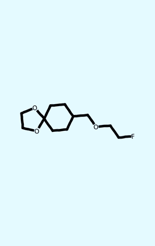 FCCOCC1CCC2(CC1)OCCO2